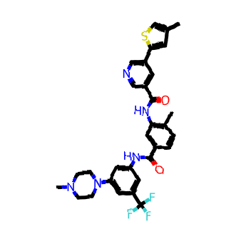 Cc1csc(-c2cncc(C(=O)Nc3cc(C(=O)Nc4cc(N5CCN(C)CC5)cc(C(F)(F)F)c4)ccc3C)c2)c1